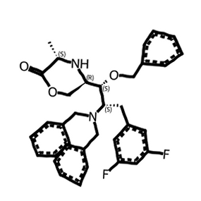 C[C@@H]1N[C@@H]([C@H](OCc2ccccc2)[C@H](Cc2cc(F)cc(F)c2)N(Cc2ccccc2)Cc2ccccc2)COC1=O